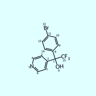 OC(c1ccncc1)(c1ccc(Br)cc1)C(F)(F)F